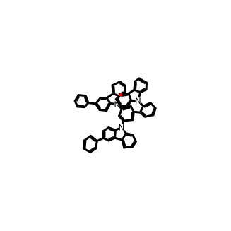 c1ccc(-c2ccc3c(c2)c2ccccc2n3-c2cc(-c3ccccc3-n3c4ccccc4c4ccccc43)cc(-n3c4ccccc4c4cc(-c5ccccc5)ccc43)c2)cc1